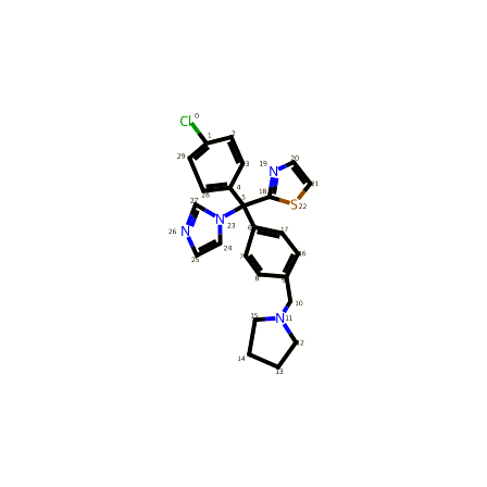 Clc1ccc(C(c2ccc(CN3CCCC3)cc2)(c2nccs2)n2ccnc2)cc1